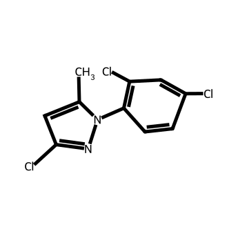 Cc1cc(Cl)nn1-c1ccc(Cl)cc1Cl